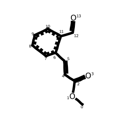 COC(=O)C=Cc1ccccc1C=O